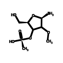 B[C@@H]1O[C@H](CO)C(O[P@@](C)(=O)O)C1OC